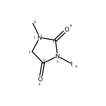 CN1CC(=O)N(I)C1=O